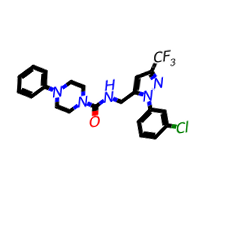 O=C(NCc1cc(C(F)(F)F)nn1-c1cccc(Cl)c1)N1CCN(c2ccccc2)CC1